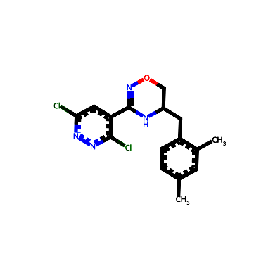 Cc1ccc(CC2CON=C(c3cc(Cl)nnc3Cl)N2)c(C)c1